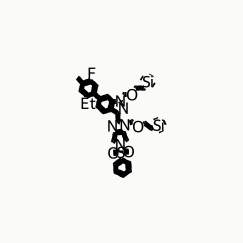 CCc1cc(C)c(F)cc1-c1ccc2c(-c3nc4c(n3COCC[Si](C)(C)C)CN(S(=O)(=O)c3ccccc3)C4)nn(COCC[Si](C)(C)C)c2c1